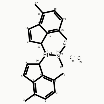 Cc1ccc(C)c2c1C=C[CH]2[Hf+2]([CH]1C=Cc2c(C)ccc(C)c21)[SiH](C)C.[Cl-].[Cl-]